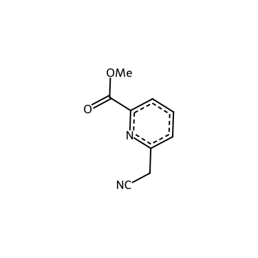 COC(=O)c1cccc(CC#N)n1